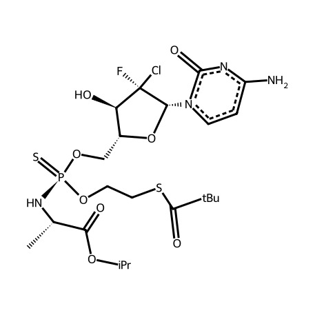 CC(C)OC(=O)[C@H](C)N[P@](=S)(OCCSC(=O)C(C)(C)C)OC[C@H]1O[C@@H](n2ccc(N)nc2=O)[C@](F)(Cl)[C@@H]1O